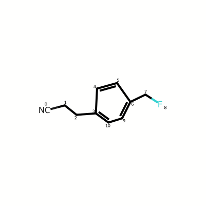 N#CCCc1ccc(CF)cc1